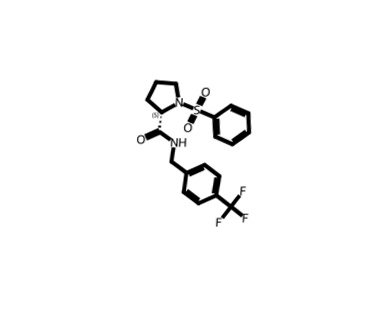 O=C(NCc1ccc(C(F)(F)F)cc1)[C@@H]1CCCN1S(=O)(=O)c1ccccc1